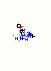 Cc1nc(/C(N)=C(\CNc2nnn(CC(C)C)n2)N(C)N)ccc1OC1CCCCC1